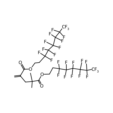 C=C(CC(C)(C)C(=O)OCCC(F)(F)C(F)(F)C(F)(F)C(F)(F)C(F)(F)C(F)(F)F)C(=O)OCCC(F)(F)C(F)(F)C(F)(F)C(F)(F)C(F)(F)C(F)(F)F